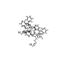 CCCCCC1(C)NC(c2ccccc2)c2ccccc2SC1OC(=O)/C=C\C(=O)OC1Sc2ccccc2C(c2ccccc2)NC1(C)CCCCC